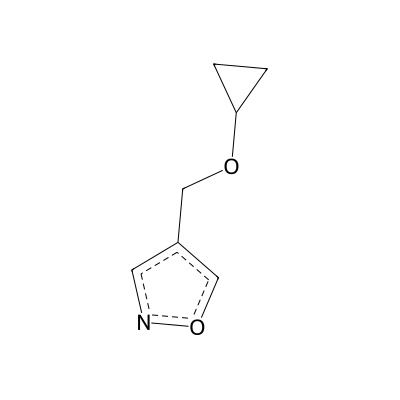 c1nocc1COC1CC1